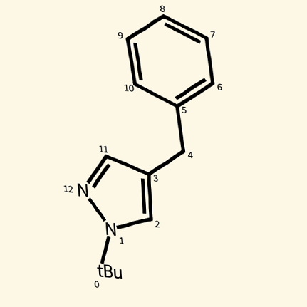 CC(C)(C)n1cc(Cc2ccccc2)cn1